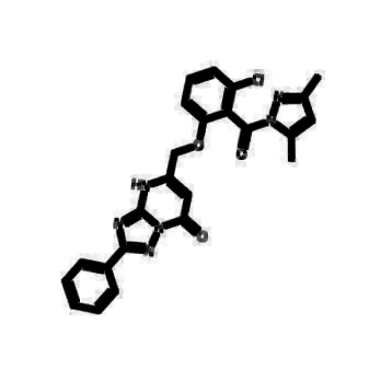 Cc1cc(C)n(C(=O)c2c(Cl)cccc2OCc2cc(=O)n3nc(-c4ccccc4)nc3[nH]2)n1